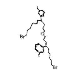 BrCCCCCCC(CCCOCCCC(CCCCCCBr)c1cccc(I)c1)c1cccc(I)c1